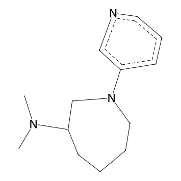 CN(C)C1CCCCN(c2cccnc2)C1